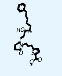 COC(=O)c1ccc(CCCN2C(=O)CC[C@@H]2C=C[C@@H](O)[C@H](C)CCCCCc2ccccc2)s1